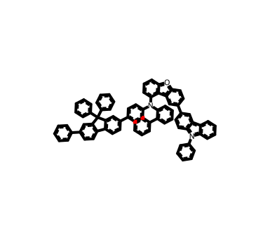 c1ccc(-c2ccc3c(c2)C(c2ccccc2)(c2ccccc2)c2cc(-c4ccc(N(c5ccccc5-c5ccccc5)c5cccc6oc7ccc(-c8ccc9c(c8)c8ccccc8n9-c8ccccc8)cc7c56)cc4)ccc2-3)cc1